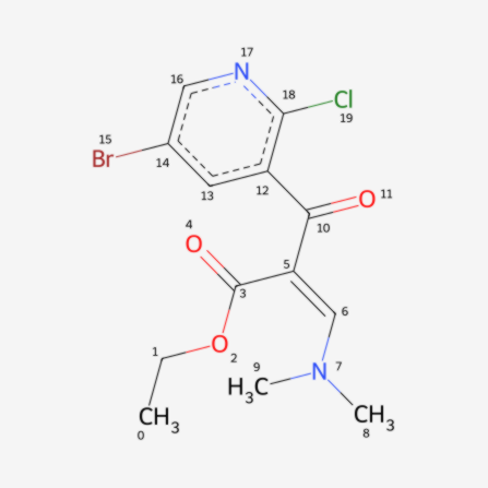 CCOC(=O)C(=CN(C)C)C(=O)c1cc(Br)cnc1Cl